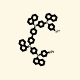 CCCc1ccc(N(c2ccc(N(c3ccc(-c4ccc(N(c5ccc(N(c6ccc(CCC)cc6)c6cccc7ccccc67)cc5)c5cccc6ccccc56)cc4)cc3)c3cccc4ccccc34)cc2)c2cccc3ccccc23)cc1